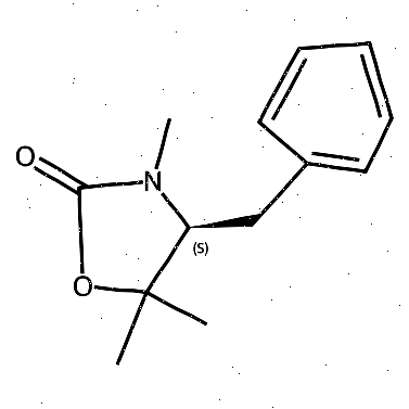 CN1C(=O)OC(C)(C)[C@@H]1Cc1ccccc1